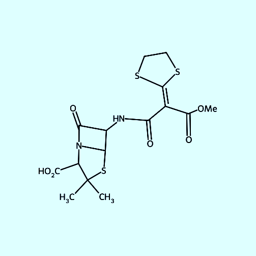 COC(=O)C(C(=O)NC1C(=O)N2C1SC(C)(C)C2C(=O)O)=C1SCCS1